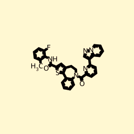 Cc1cccc(F)c1NC(=O)c1cc2c(s1)-c1ccccc1N(C(=O)c1cccc(-c3cnn4ccccc34)n1)CC2